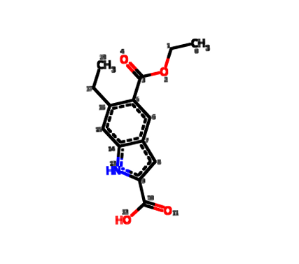 CCOC(=O)c1cc2cc(C(=O)O)[nH]c2cc1CC